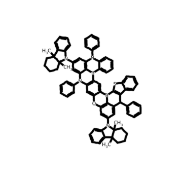 CC12CCCCC1(C)N(c1cc3c4c(c1)C(c1ccccc1)c1c(sc5ccccc15)B4c1cc4c(cc1O3)N(c1ccccc1)c1cc(N3c5ccccc5C5(C)CCCCC35C)cc3c1B4c1ccccc1N3c1ccccc1)c1ccccc12